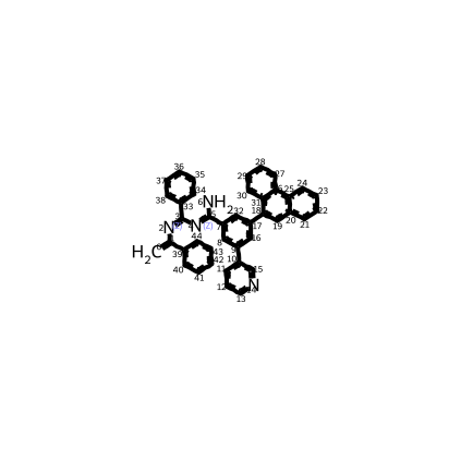 C=C(/N=C(\N=C(/N)c1cc(-c2cccnc2)cc(-c2cc3ccccc3c3ccccc23)c1)c1ccccc1)c1ccccc1